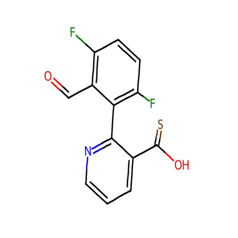 O=Cc1c(F)ccc(F)c1-c1ncccc1C(O)=S